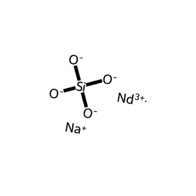 [Na+].[Nd+3].[O-][Si]([O-])([O-])[O-]